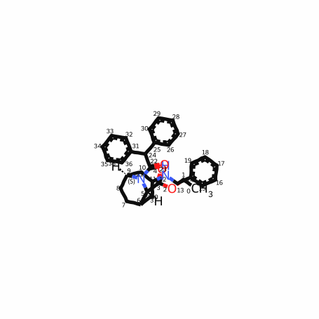 CCOC(=O)[C@@H]1C2CC[C@@H](CC(NCc3ccccc3)C2)N1C(=O)C(c1ccccc1)c1ccccc1